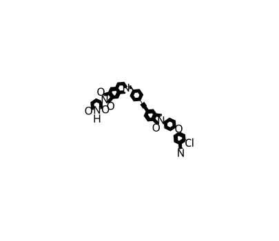 N#Cc1ccc(O[C@H]2CC[C@H](N3Cc4cc(C#C[C@H]5CC[C@H](CN6CCc7cc8c(cc7C6)C(=O)N(C6CCC(=O)NC6=O)C8=O)CC5)ccc4C3=O)CC2)cc1Cl